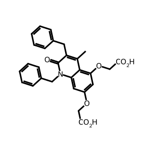 Cc1c(Cc2ccccc2)c(=O)n(Cc2ccccc2)c2cc(OCC(=O)O)cc(OCC(=O)O)c12